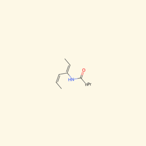 C/C=C\C(=C/C)NC(=O)CCC